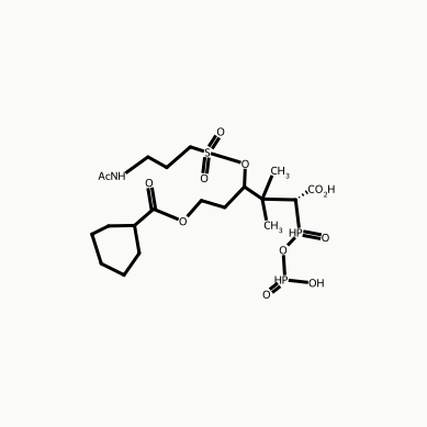 CC(=O)NCCCS(=O)(=O)OC(CCOC(=O)C1CCCCC1)C(C)(C)[C@H](C(=O)O)[PH](=O)O[PH](=O)O